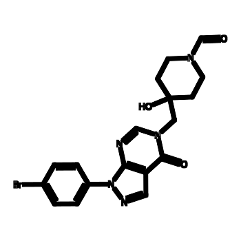 O=CN1CCC(O)(Cn2cnc3c(cnn3-c3ccc(Br)cc3)c2=O)CC1